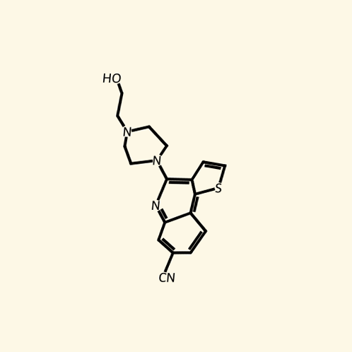 N#Cc1ccc2c(c1)nc(N1CCN(CCO)CC1)c1ccsc12